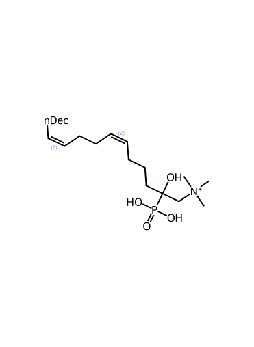 CCCCCCCCCC/C=C\CC/C=C\CCCC(O)(C[N+](C)(C)C)P(=O)(O)O